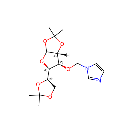 CC1(C)OC[C@H]([C@H]2OC3OC(C)(C)O[C@@H]3[C@H]2OCn2ccnc2)O1